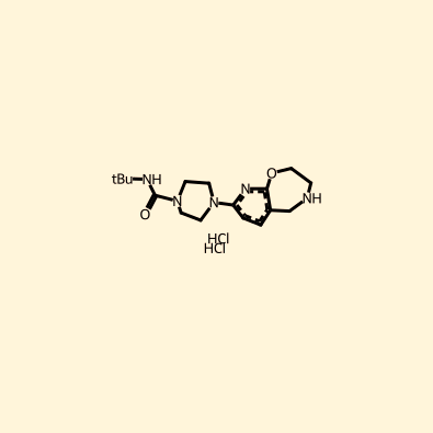 CC(C)(C)NC(=O)N1CCN(c2ccc3c(n2)OCCNC3)CC1.Cl.Cl